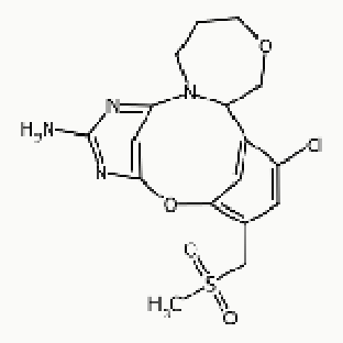 CS(=O)(=O)Cc1cc(Cl)c2cc1Oc1cc(nc(N)n1)N1CCCOCC21